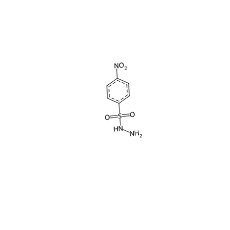 NNS(=O)(=O)c1ccc([N+](=O)[O-])cc1